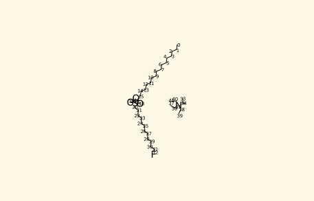 CCCCCCCCCCCCCCCCOS(=O)(=O)CCCCCCCCCCCCF.CC[N+](CC)(CC)CC